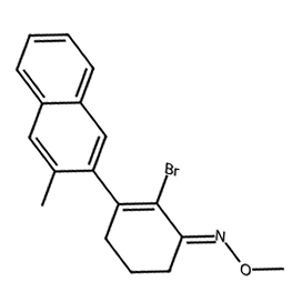 CON=C1CCCC(c2cc3ccccc3cc2C)=C1Br